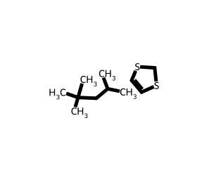 C1=CSCS1.CC(C)CC(C)(C)C